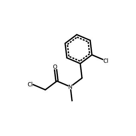 CN(Cc1ccccc1Cl)C(=O)CCl